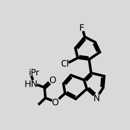 CC(C)NC(=O)C(C)Oc1ccc2c(-c3ccc(F)cc3Cl)ccnc2c1